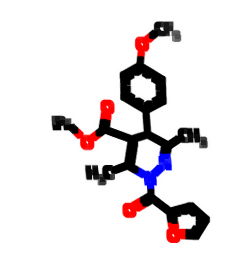 CC1=NN(C(=O)c2ccco2)C(C)=C(C(=O)OC(C)C)C1c1ccc(OC(F)(F)F)cc1